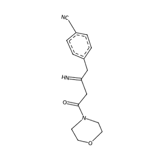 N#Cc1ccc(CC(=N)CC(=O)N2CCOCC2)cc1